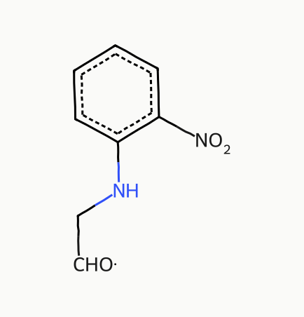 O=[C]CNc1ccccc1[N+](=O)[O-]